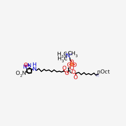 CCCCCCCC/C=C\CCCCCCCC(=O)OC[C@H](COP(=O)([O-])OCC[N+](C)(C)C)OC(=O)CCCCCCCCCCCNc1ccc([N+](=O)[O-])c2nonc12